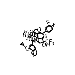 C[C@]1(C(N)=O)COc2c1cc(C(O)(CNC(=O)c1cc(OC3CC3)c3ncccc3c1)C(F)(F)F)nc2-c1ccc(F)c(F)c1